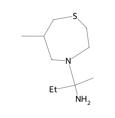 CCC(C)(N)N1CCSCC(C)C1